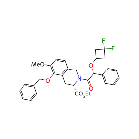 CCOC(=O)[C@@H]1Cc2c(ccc(OC)c2OCc2ccccc2)CN1C(=O)C(OC1CC(F)(F)C1)c1ccccc1